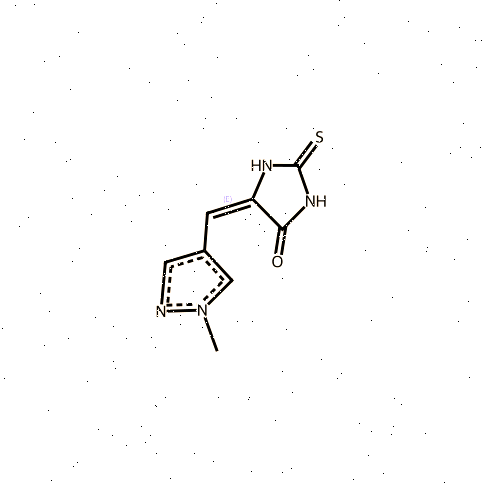 Cn1cc(/C=C2/NC(=S)NC2=O)cn1